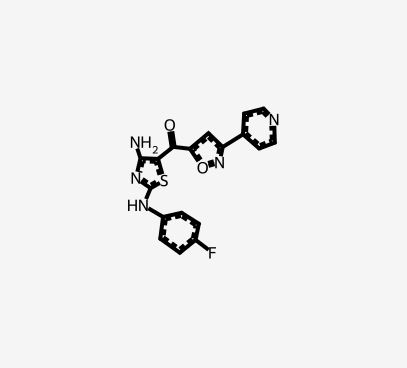 Nc1nc(Nc2ccc(F)cc2)sc1C(=O)c1cc(-c2ccncc2)no1